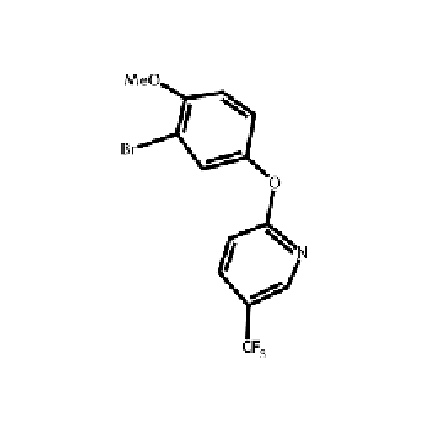 COc1ccc(Oc2ccc(C(F)(F)F)cn2)cc1Br